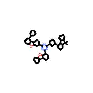 CC1(C)c2ccccc2-c2c(-c3cccc(-c4nc(-c5ccc6c(c5)oc5cccc(-c7ccccc7)c56)nc(-c5cccc6c5oc5ccccc56)n4)c3)cccc21